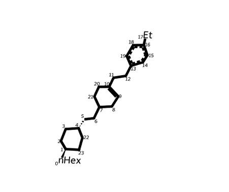 CCCCCC[C@H]1CC[C@H](CCC2CC=C(CCc3ccc(CC)cc3)CC2)CC1